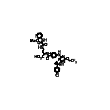 COc1ncccc1NC(=O)C(=O)NCC[C@H](NC(=O)c1ccc(Nc2nc(NC3(c4ccc(Cl)cc4)CC3)nc(OCC(F)(F)F)n2)cc1)C(=O)O